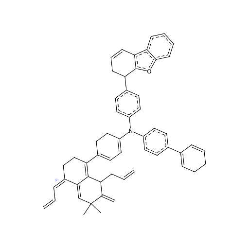 C=C/C=C1/CCC(C2=CC=C(N(c3ccc(C4=CCCC=C4)cc3)c3ccc(C4CC=Cc5c4oc4ccccc54)cc3)CC2)=C2C1=CC(C)(C)C(=C)C2CC=C